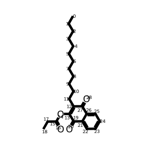 CCCCCCCCCCCCC1=C(OC(=O)CC)C(=O)c2ccccc2C1=O